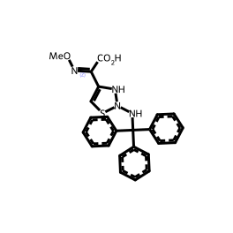 CO/N=C(\C(=O)O)C1=CSN(NC(c2ccccc2)(c2ccccc2)c2ccccc2)N1